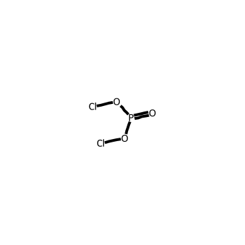 O=[P](OCl)OCl